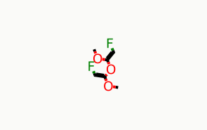 COC(=CF)OC(=CF)OC